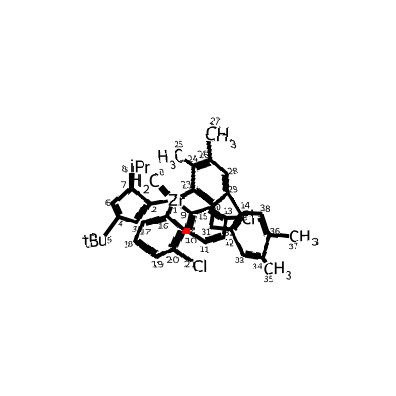 [CH2]=[Zr]([C]1=CC(C(C)(C)C)=CC1C(C)C)([c]1cccc(Cl)c1)([c]1cccc(Cl)c1)[c]1c(C)c(C)cc2c1Cc1cc(C)c(C)cc1-2